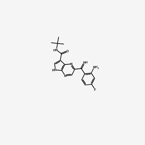 CC(C)(C)NC(=O)c1c[nH]c2ncc(C(=N)c3ccc(F)cc3N)nc12